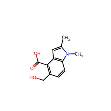 Cc1cc2c(C(=O)O)c(CO)ccc2n1C